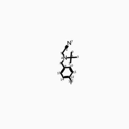 CC(C)(C)N(CC#N)Cc1ccc(F)cc1